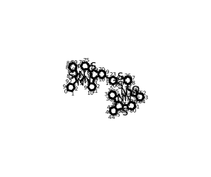 c1ccc(-c2nc(-n3c4ccccc4c4c5cc(-c6ccc7c(c6)Sc6cccc(-c8nc(-n9c%10ccccc%10c%10c%11ccccc%11c%11sc%12ccccc%12c%11c%109)nc9c8oc8ccccc89)c6S7)ccc5c5sc6ccccc6c5c43)nc3c2sc2ccccc23)cc1